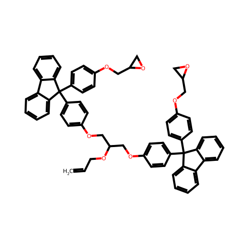 C=CCOC(COc1ccc(C2(c3ccc(OCC4CO4)cc3)c3ccccc3-c3ccccc32)cc1)COc1ccc(C2(c3ccc(OCC4CO4)cc3)c3ccccc3-c3ccccc32)cc1